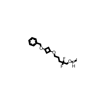 FC(F)(CCCO[C@H]1C[C@@H](OCc2ccccc2)C1)COPI